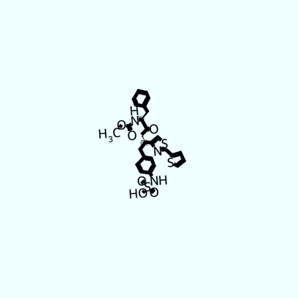 COC(=O)N[C@@H](Cc1ccccc1)C(=O)C[C@@H](Cc1ccc(NS(=O)(=O)O)cc1)c1csc(-c2cccs2)n1